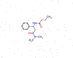 CCCC(=O)NC(CC(=O)N(C)C)c1ccccc1